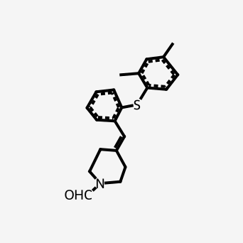 Cc1ccc(Sc2ccccc2C=C2CCN(C=O)CC2)c(C)c1